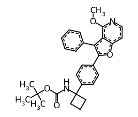 COc1nccc2oc(-c3ccc(C4(NC(=O)OC(C)(C)C)CCC4)cc3)c(-c3ccccc3)c12